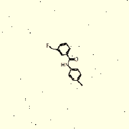 Cc1ccc(NC(=O)c2cccc(CF)c2)cc1